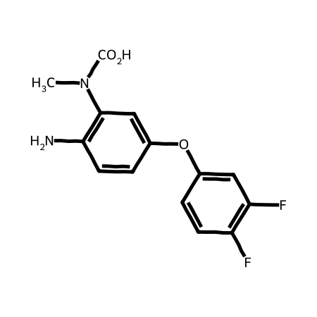 CN(C(=O)O)c1cc(Oc2ccc(F)c(F)c2)ccc1N